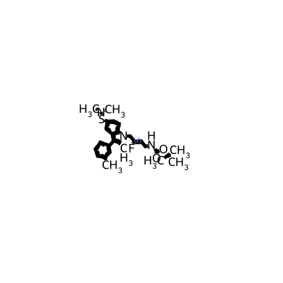 Cc1cccc(-c2c(C)n(C/C(F)=C/CNC(=O)OC(C)(C)C)c3ccc(SN(C)C)cc23)c1